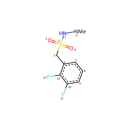 CNNS(=O)(=O)Cc1cccc(F)c1F